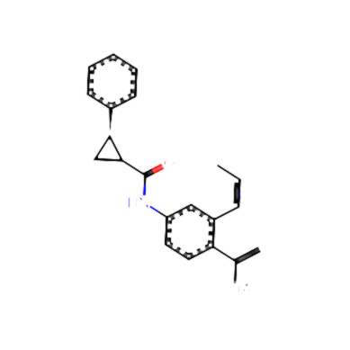 C=C(OC(C)=O)c1ccc(NC(=O)C2C[C@H]2c2ccccc2)cc1/C=C\C